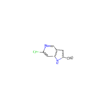 O=Cc1cc2cnc(Cl)cc2[nH]1